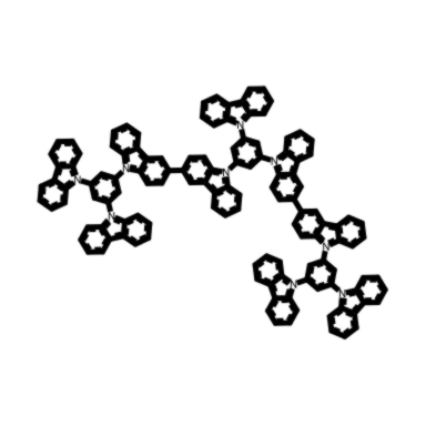 c1ccc2c(c1)c1ccccc1n2-c1cc(-n2c3ccccc3c3ccccc32)cc(-n2c3ccccc3c3cc(-c4ccc5c(c4)c4ccccc4n5-c4cc(-n5c6ccccc6c6ccccc65)cc(-n5c6ccccc6c6cc(-c7ccc8c(c7)c7ccccc7n8-c7cc(-n8c9ccccc9c9ccccc98)cc(-n8c9ccccc9c9ccccc98)c7)ccc65)c4)ccc32)c1